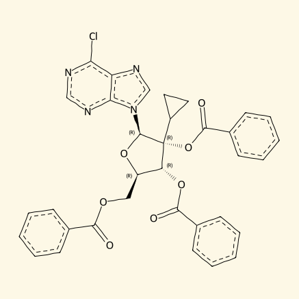 O=C(OC[C@H]1O[C@@H](n2cnc3c(Cl)ncnc32)[C@@](OC(=O)c2ccccc2)(C2CC2)[C@@H]1OC(=O)c1ccccc1)c1ccccc1